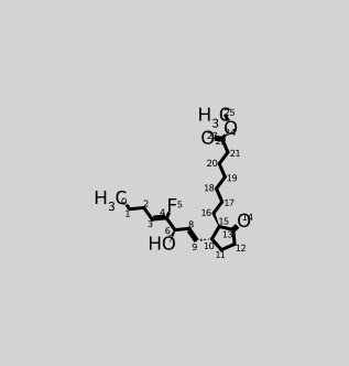 CCC/C=C(\F)[C@H](O)/C=C/[C@H]1CCC(=O)[C@@H]1CCCCCCC(=O)OC